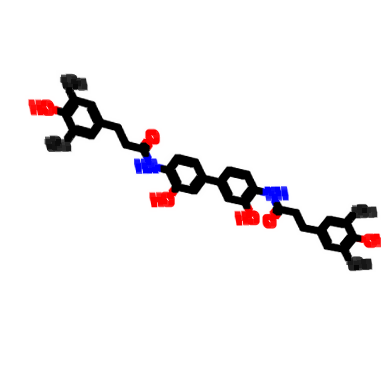 CC(C)(C)c1cc(CCC(=O)Nc2ccc(-c3ccc(NC(=O)CCc4cc(C(C)(C)C)c(O)c(C(C)(C)C)c4)c(O)c3)cc2O)cc(C(C)(C)C)c1O